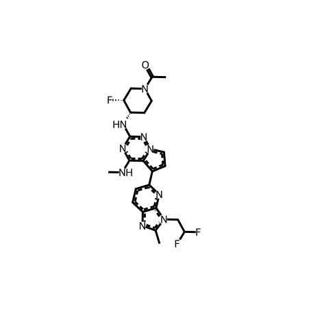 CNc1nc(N[C@H]2CCN(C(C)=O)C[C@H]2F)nn2ccc(-c3ccc4nc(C)n(CC(F)F)c4n3)c12